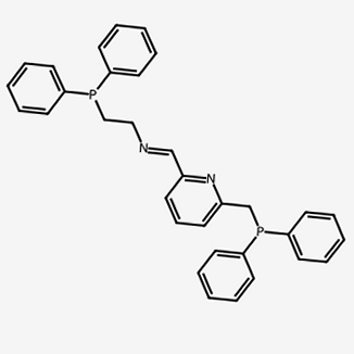 C(=NCCP(c1ccccc1)c1ccccc1)c1cccc(CP(c2ccccc2)c2ccccc2)n1